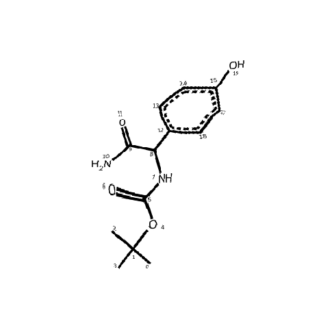 CC(C)(C)OC(=O)NC(C(N)=O)c1ccc(O)cc1